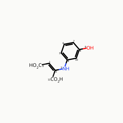 O=C(O)C=C(Nc1cccc(O)c1)C(=O)O